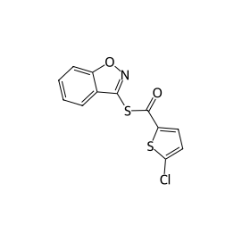 O=C(Sc1noc2ccccc12)c1ccc(Cl)s1